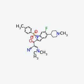 Cc1ccc(S(=O)(=O)n2c(C(=O)C(C#N)=CN(C)C)cc3cc(C4CCN(C)CC4)c(F)cc32)cc1